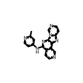 Cc1cc(Nc2nc3c(nc4ccncn43)c3cnccc23)ccn1